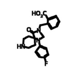 O=C(O)c1ccccc1CN1CN(c2ccc(F)cc2)C2(CCNCC2)C1=O